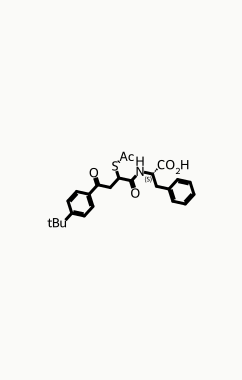 CC(=O)SC(CC(=O)c1ccc(C(C)(C)C)cc1)C(=O)N[C@@H](Cc1ccccc1)C(=O)O